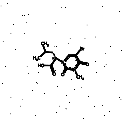 CC(C)C[C@@H](C(=O)O)n1cc(Br)c(=O)n(C)c1=O